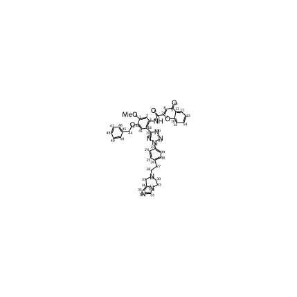 COc1cc(NC(=O)c2cc(=O)c3ccccc3o2)c(-c2nnn(-c3ccc(CCN4CCn5cncc5C4)cc3)n2)cc1OCc1ccccc1